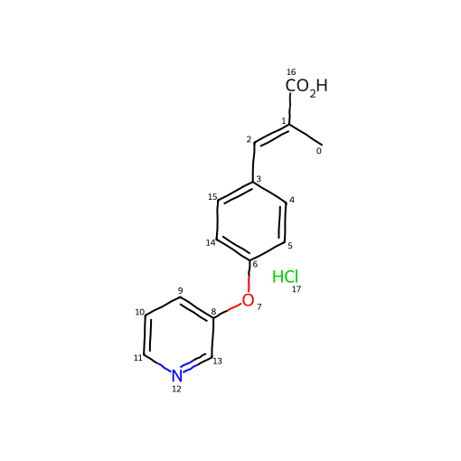 C/C(=C\c1ccc(Oc2cccnc2)cc1)C(=O)O.Cl